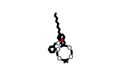 CCCCCCCCCCCCC1(Cc2ccccc2OCc2ccccc2)COCCOCC(C)(C)COCCOC1